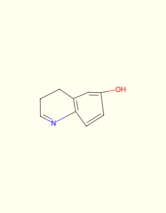 Oc1ccc2c(c1)CCC=N2